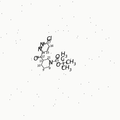 CC(C)(C)OC(=O)N1CCCC(C(=O)c2ccc(Cl)nn2)C1